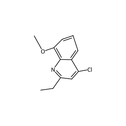 CCc1cc(Cl)c2cccc(OC)c2n1